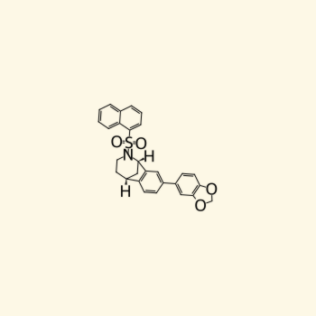 O=S(=O)(c1cccc2ccccc12)N1CC[C@@H]2C[C@H]1c1cc(-c3ccc4c(c3)OCO4)ccc12